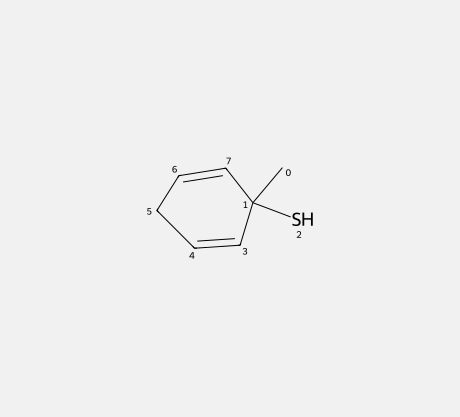 CC1(S)C=CCC=C1